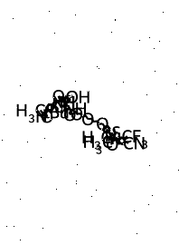 Cc1ncoc1-c1ccc(CNC(=O)[C@@H]2C[C@@H](O)CC2C(=O)[C@@H](NC(=O)COCCCOCCCCOc2ccc(N3C(=S)N(c4ccc(C#N)c(C(F)(F)F)c4)C(=O)C3(C)C)cc2)C(C)(C)C)cc1